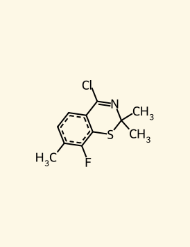 Cc1ccc2c(c1F)SC(C)(C)N=C2Cl